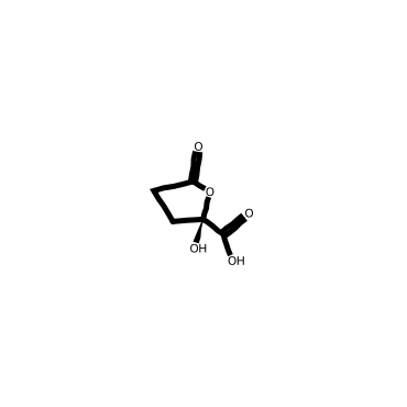 O=C1CC[C@@](O)(C(=O)O)O1